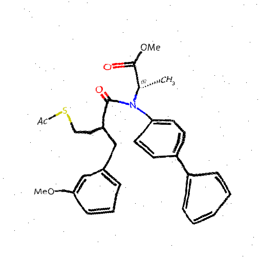 COC(=O)[C@H](C)N(C(=O)C(CSC(C)=O)Cc1cccc(OC)c1)c1ccc(-c2ccccc2)cc1